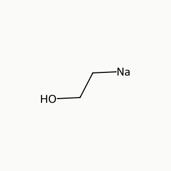 OC[CH2][Na]